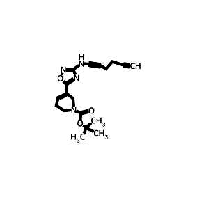 C#CCCC#CNc1noc(C2=CCCN(C(=O)OC(C)(C)C)C2)n1